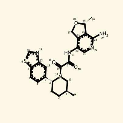 C[C@H]1CC[C@H](c2ccc3scnc3c2)N(C(=O)C(=O)Nc2cnc(N)c3c2CO[C@@H]3C)C1